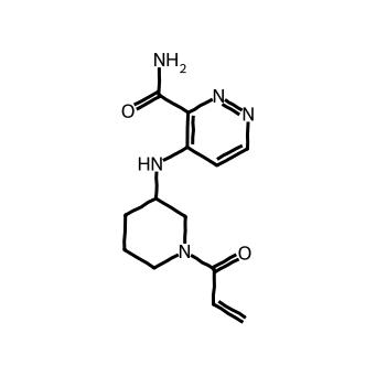 C=CC(=O)N1CCCC(Nc2ccnnc2C(N)=O)C1